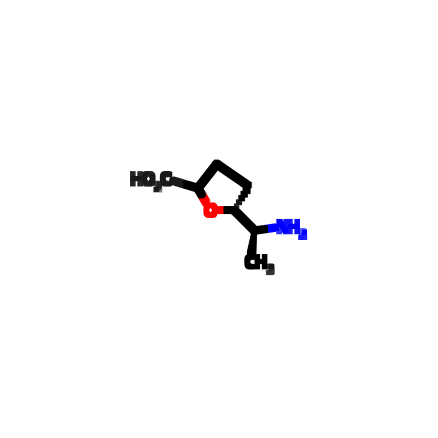 C[C@H](N)[C@H]1CCC(C(=O)O)O1